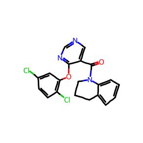 O=C(c1cncnc1Oc1cc(Cl)ccc1Cl)N1CCCc2ccccc21